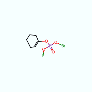 O=P(OF)(OBr)OC1=CCCCC1